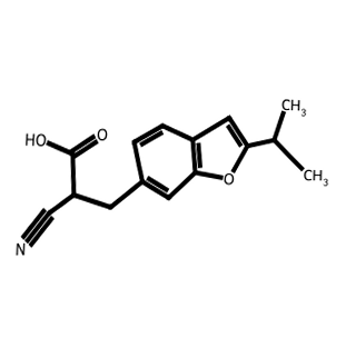 CC(C)c1cc2ccc(CC(C#N)C(=O)O)cc2o1